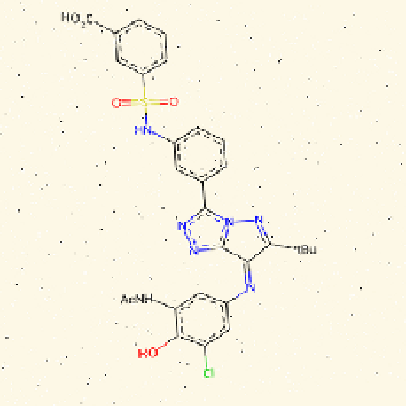 CC(=O)Nc1cc(N=C2C(C(C)(C)C)=Nn3c2nnc3-c2cccc(NS(=O)(=O)c3cccc(C(=O)O)c3)c2)cc(Cl)c1O